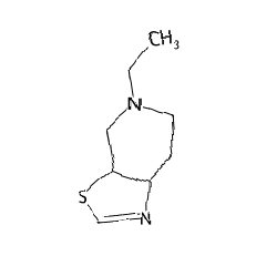 CCN1CCC2N=CSC2C1